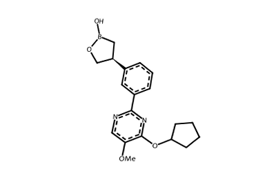 COc1cnc(-c2cccc([C@H]3COB(O)C3)c2)nc1OC1CCCC1